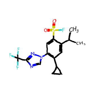 CC(C)c1cc(C2CC2)c(-n2cnc(C(F)(F)F)n2)cc1S(=O)(=O)F